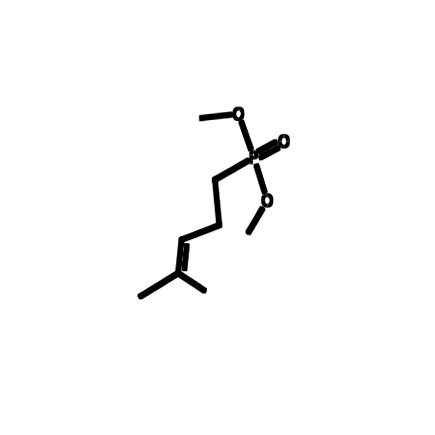 COP(=O)(CCC=C(C)C)OC